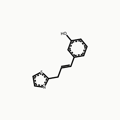 Oc1cccc(C=CCc2nccs2)c1